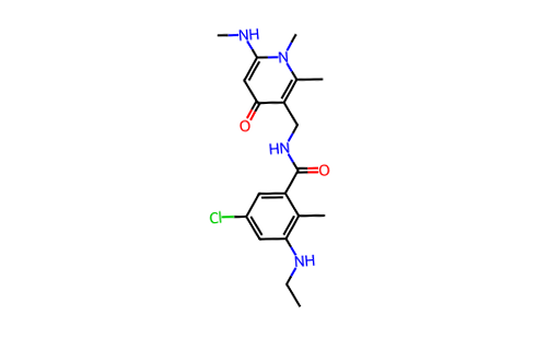 CCNc1cc(Cl)cc(C(=O)NCc2c(C)n(C)c(NC)cc2=O)c1C